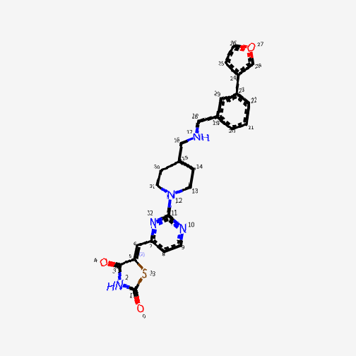 O=C1NC(=O)/C(=C/c2ccnc(N3CCC(CNCc4cccc(-c5ccoc5)c4)CC3)n2)S1